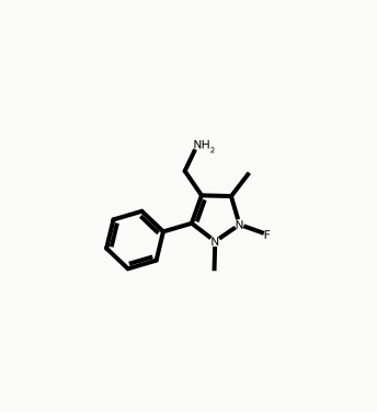 CC1C(CN)=C(c2ccccc2)N(C)N1F